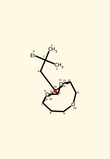 [CH2]CC(C)(C)C[C]1OC2CCOCC(CCOC2)O1